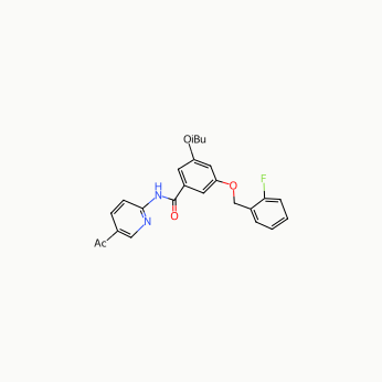 CC(=O)c1ccc(NC(=O)c2cc(OCc3ccccc3F)cc(OCC(C)C)c2)nc1